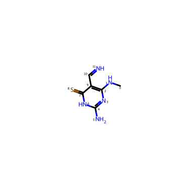 CNc1nc(N)[nH]c(=S)c1C=N